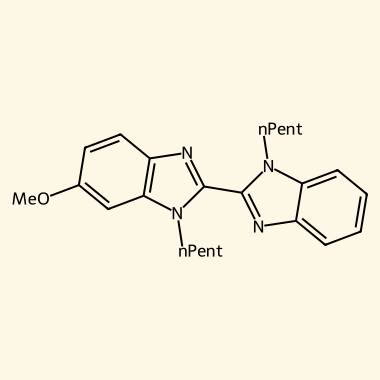 CCCCCn1c(-c2nc3ccc(OC)cc3n2CCCCC)nc2ccccc21